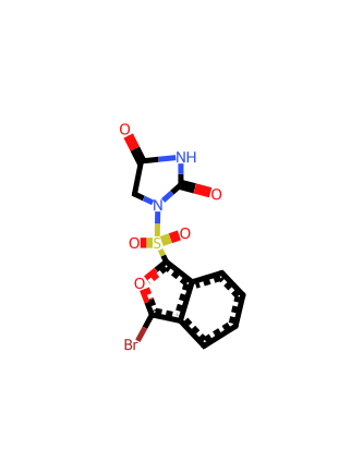 O=C1CN(S(=O)(=O)c2oc(Br)c3ccccc23)C(=O)N1